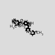 CC[C@H]1CCCN(c2cc(-c3n[nH]c4ccc(NC(=O)C5=C(C)N(C)c6nnnn6C5)cc34)ccn2)C1